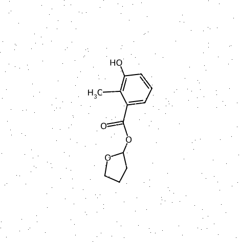 Cc1c(O)cccc1C(=O)OC1CCCO1